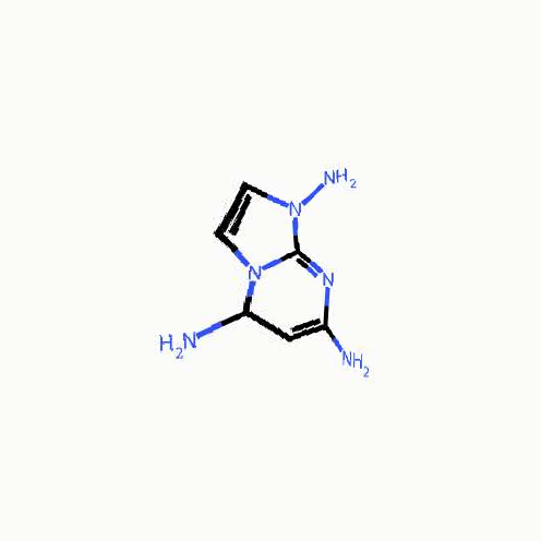 NC1=CC(N)N2C=CN(N)C2=N1